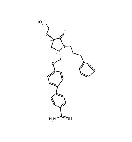 N=C(N)c1ccc(-c2ccc(OC[C@@H]3C[C@@H](SCC(=O)O)C(=O)N3CCCc3ccccc3)cc2)cc1